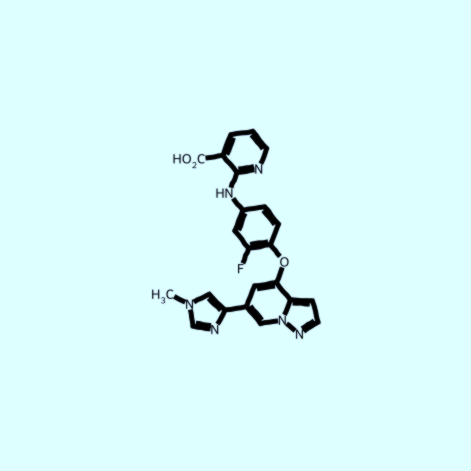 Cn1cnc(-c2cc(Oc3ccc(Nc4ncccc4C(=O)O)cc3F)c3ccnn3c2)c1